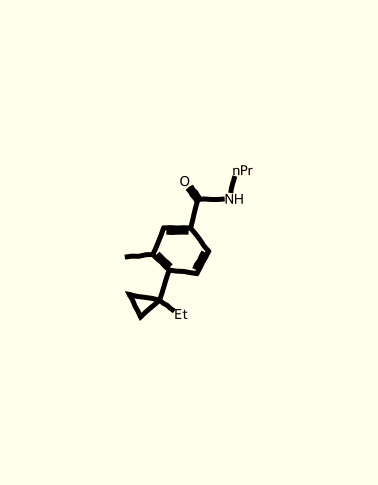 CCCNC(=O)c1ccc(C2(CC)CC2)c(C)c1